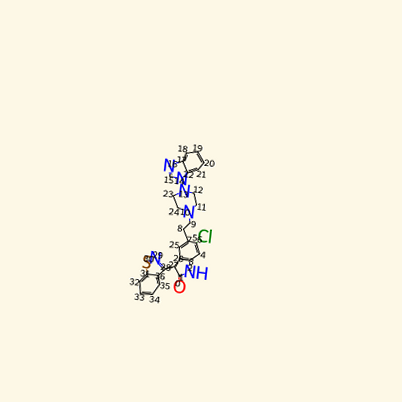 O=C1Nc2cc(Cl)c(CCN3CCN(n4cnc5ccccc54)CC3)cc2C1c1nsc2ccccc12